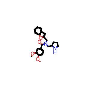 COc1ccc(C(=O)N(Cc2cc3ccccc3o2)CC2CCCN2)cc1OC